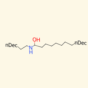 CCCCCCCCCCCCCCCCCC(O)NCCCCCCCCCCCC